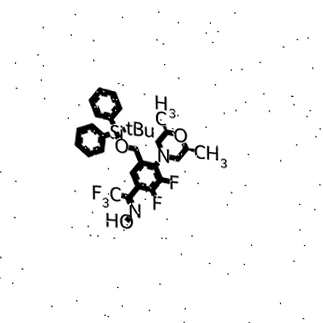 C[C@@H]1CN(c2c(CO[Si](c3ccccc3)(c3ccccc3)C(C)(C)C)cc(/C(=N/O)C(F)(F)F)c(F)c2F)C[C@H](C)O1